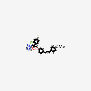 COc1ccc(C=CCc2ccc(OCC(O)(Cn3cncn3)c3ccc(F)cc3F)cc2)cc1